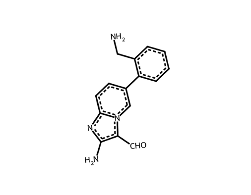 NCc1ccccc1-c1ccc2nc(N)c(C=O)n2c1